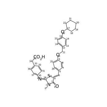 CN1C(=O)C(=Cc2ccc(OCc3ccc(OC4CCCCC4)cc3)cc2)SC1=Nc1ccc(CC(=O)O)cc1